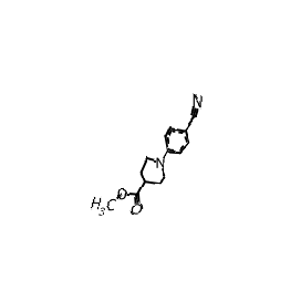 COC(=O)C1CCN(c2ccc(C#N)cc2)CC1